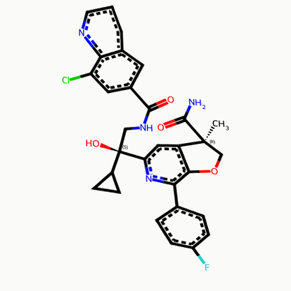 C[C@]1(C(N)=O)COc2c1cc([C@@](O)(CNC(=O)c1cc(Cl)c3ncccc3c1)C1CC1)nc2-c1ccc(F)cc1